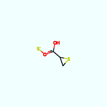 OC(=[O+][S-])C1CS1